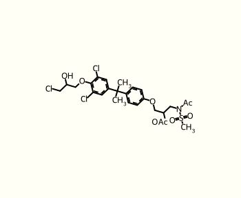 CC(=O)OC(COc1ccc(C(C)(C)c2cc(Cl)c(OCC(O)CCl)c(Cl)c2)cc1)CN(C(C)=O)S(C)(=O)=O